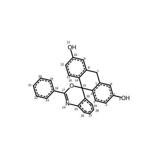 Oc1ccc2c(c1)Cc1cc(O)ccc1C21OC(c2ccccc2)=Nc2ccccc21